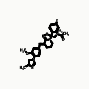 COc1cc(/C=C2\CCCN3C2=NO[C@]3(CN(C)C(C)=O)c2ccc(F)cc2)ccc1N1C=NC(C)C1